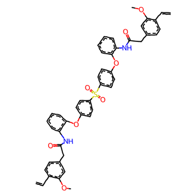 C=Cc1ccc(CC(=O)Nc2ccccc2Oc2ccc(S(=O)(=O)c3ccc(Oc4ccccc4NC(=O)Cc4ccc(C=C)c(OC)c4)cc3)cc2)cc1OC